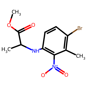 COC(=O)C(C)Nc1ccc(Br)c(C)c1[N+](=O)[O-]